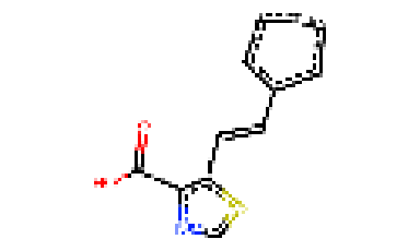 O=C(O)c1ncsc1C=Cc1ccccc1